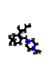 C=C/C=C(\C)C1=C(CN2CCN(C(C)C)CC2)CCC(C)(C)C1